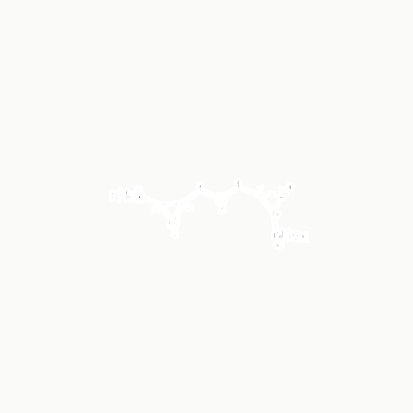 CCCCCCC1OC1COCC1OC1CCCCCC